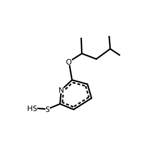 CC(C)CC(C)Oc1cccc(SS)n1